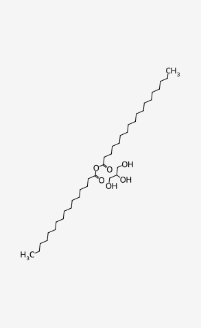 CCCCCCCCCCCCCCCCCC(=O)OC(=O)CCCCCCCCCCCCCCC.OCC(O)CO